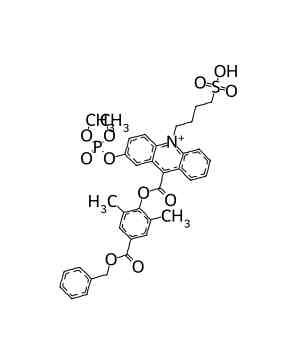 COP(=O)(OC)Oc1ccc2c(c1)c(C(=O)Oc1c(C)cc(C(=O)OCc3ccccc3)cc1C)c1ccccc1[n+]2CCCCS(=O)(=O)O